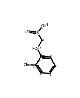 O=S(O)CNc1ccccc1Cl